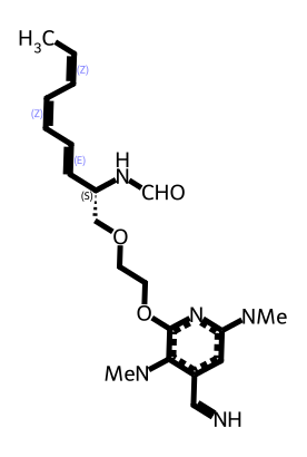 C\C=C/C=C\C=C\[C@@H](COCCOc1nc(NC)cc(C=N)c1NC)NC=O